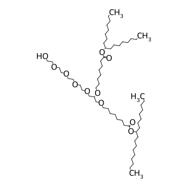 CCCCCCCCCC(CCCCCCCC)OC(=O)CCCCCCCOCC(COCCOCCOCCOCCO)OCCCCCCCC(=O)OC(CCCCCCCC)CCCCCCCC